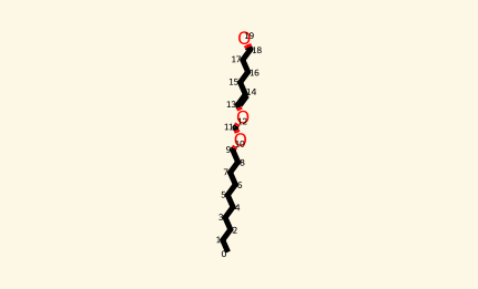 CCCCCCCCCCOCOC=CCCCC=O